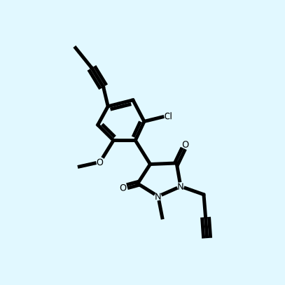 C#CCN1C(=O)C(c2c(Cl)cc(C#CC)cc2OC)C(=O)N1C